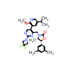 COc1ncc(C(C)C)cc1-c1cnc(N2CC(F)(F)C2)nc1CN1C(=O)O[C@H](c2cc(C)cc(C)c2)[C@@H]1C